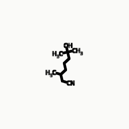 CC(CC#N)CCCC(C)(C)O